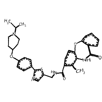 Cc1c(C(=O)NCc2cnc(-c3ccc(OC4CCN(C(C)C)CC4)cc3)s2)ccc2c1NC(=O)c1ccccc1O2